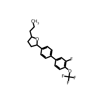 CCCC1CCC(c2ccc(-c3ccc(OC(F)(F)F)c(F)c3)cc2)O1